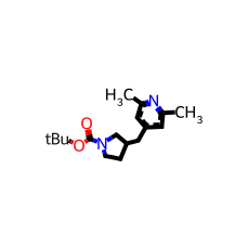 Cc1cc(CC2CCN(C(=O)OC(C)(C)C)C2)cc(C)n1